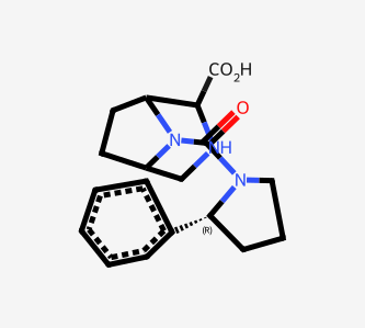 O=C(O)C1NCC2CCC1N2C(=O)N1CCC[C@@H]1c1ccccc1